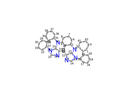 c1ccc(N2c3cccc4c3B(c3ncn(-c5ccccc5)c32)c2ncn(-c3ccccc3)c2N4c2ccccc2)cc1